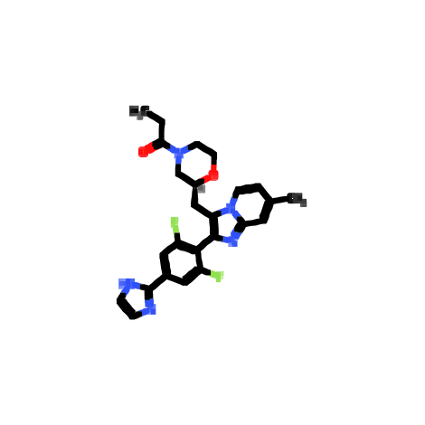 CCC(=O)N1CCO[C@@H](Cc2c(-c3c(F)cc(-c4ncc[nH]4)cc3F)nc3cc(C)ccn23)C1